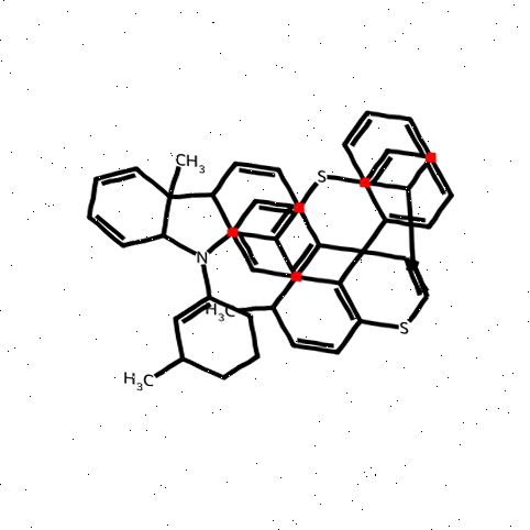 CC1C=C(N2C3C(C4C5=C(C=CC4C)Sc4cccc(C6C=CC=CC6)c4C54c5ccccc5Sc5ccccc54)=CC=CC3C3(C)C=CC=CC23)CCC1